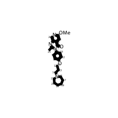 COc1cc2c(=O)n(-c3ccc(OCCCN4CCCCCC4)cc3)c(C)nc2cn1